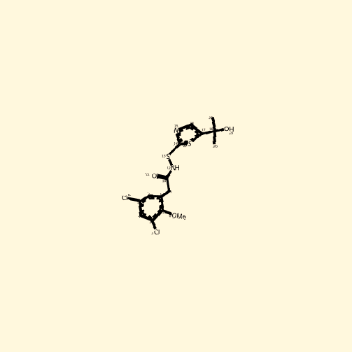 COc1c(Cl)cc(Cl)cc1CC(=O)NSc1ncc(C(C)(C)O)s1